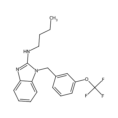 CCCCNc1nc2ccccc2n1Cc1cccc(OC(F)(F)F)c1